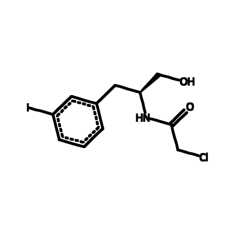 O=C(CCl)N[C@H](CO)Cc1cccc(I)c1